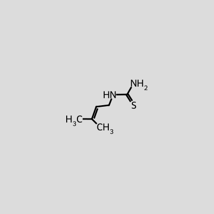 CC(C)=CCNC(N)=S